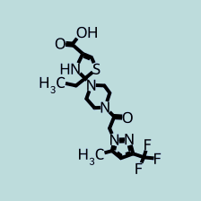 CCC1(N2CCN(C(=O)Cn3nc(C(F)(F)F)cc3C)CC2)NC(C(=O)O)=CS1